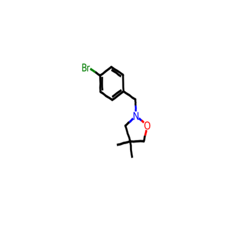 CC1(C)CON(Cc2ccc(Br)cc2)C1